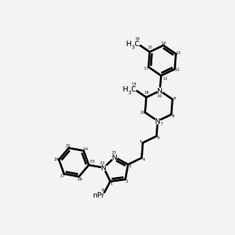 CCCc1cc(CCCN2CCN(c3cccc(C)c3)C(C)C2)nn1-c1ccccc1